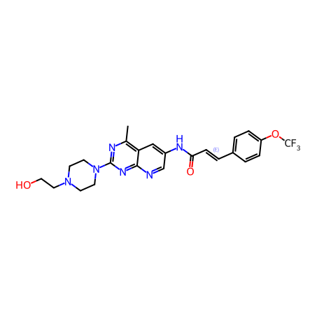 Cc1nc(N2CCN(CCO)CC2)nc2ncc(NC(=O)/C=C/c3ccc(OC(F)(F)F)cc3)cc12